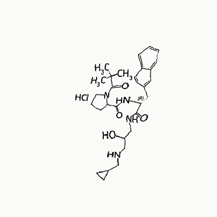 CC(C)(C)C(=O)N1CCCC1C(=O)N[C@H](Cc1ccc2ccccc2c1)C(=O)NCC(O)CNCC1CC1.Cl